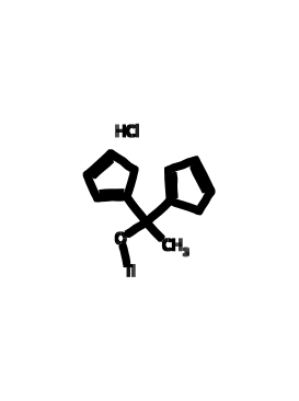 CC([O][Ti])(C1=CC=CC1)C1=CC=CC1.Cl